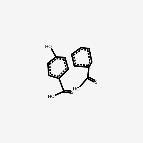 OC(=S)c1ccc(O)cc1.OC(=S)c1ccccc1